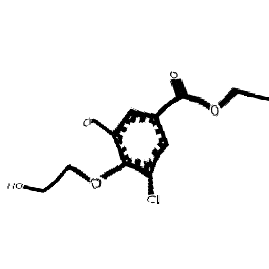 CCOC(=O)c1cc(Cl)c(OCCO)c(Cl)c1